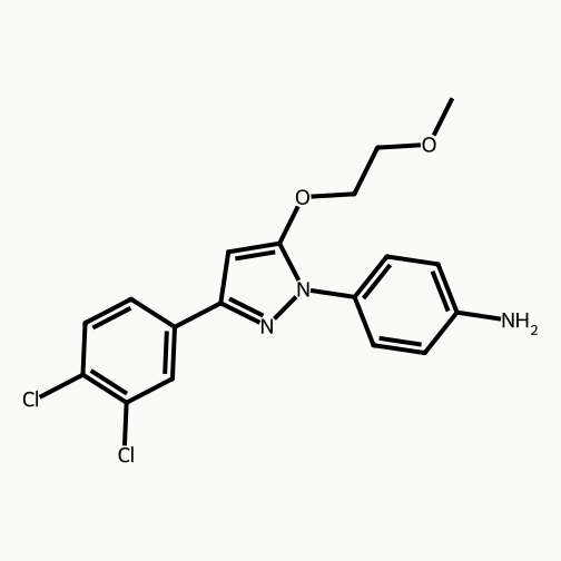 COCCOc1cc(-c2ccc(Cl)c(Cl)c2)nn1-c1ccc(N)cc1